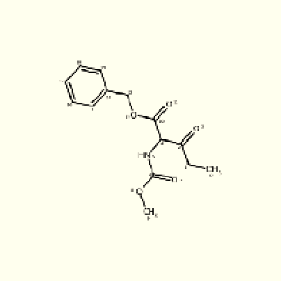 CCC(=O)C(NC(=O)OC)C(=O)OCc1ccccc1